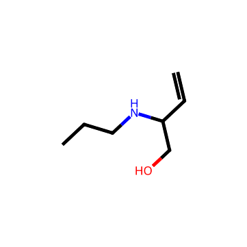 C=CC(CO)NCCC